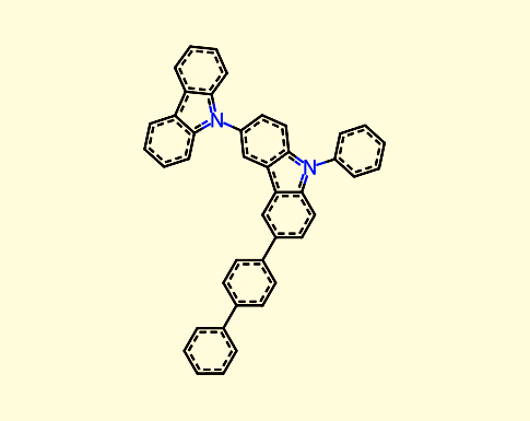 c1ccc(-c2ccc(-c3ccc4c(c3)c3cc(-n5c6ccccc6c6ccccc65)ccc3n4-c3ccccc3)cc2)cc1